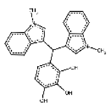 Cn1cc(C(c2ccc(O)c(O)c2O)c2cn(C)c3ccccc23)c2ccccc21